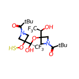 CC(C)(C)C(=O)N1CC(O[C@](O)(C(F)(F)F)C2(OS)CN(C(=O)C(C)(C)C)C2)([C@H](O)C(F)(F)F)C1